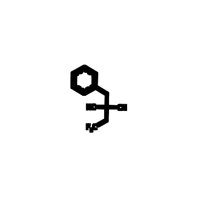 N#CC(C#N)(Cc1ccccc1)CC(F)(F)F